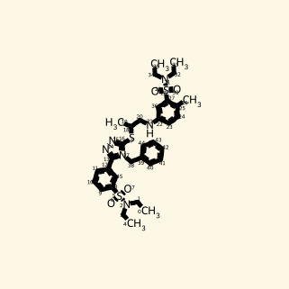 CCN(CC)S(=O)(=O)c1cccc(-c2nnc(SC(C)CNc3ccc(C)c(S(=O)(=O)N(CC)CC)c3)n2Cc2ccccc2)c1